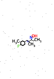 CCC(=NO)/C(C)=C/c1ccc(F)c(C)c1